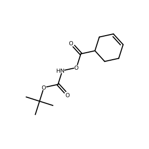 CC(C)(C)OC(=O)NOC(=O)C1CC=CCC1